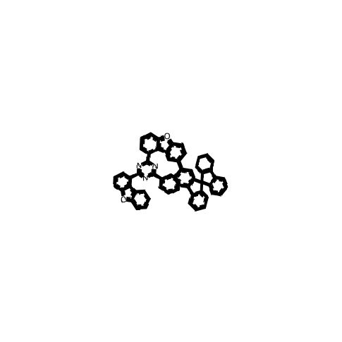 C1=CC2=C(CC1)C1(c3ccccc32)c2ccccc2-c2ccc(-c3ccc4oc5cccc(-c6nc(-c7ccccc7)nc(-c7cccc8oc9ccccc9c78)n6)c5c4c3)cc21